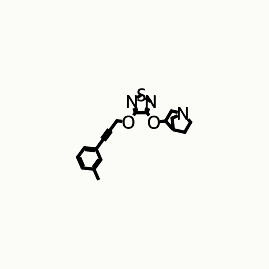 Cc1cccc(C#CCOc2nsnc2OC2CN3CCC2C3)c1